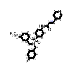 O=C(/C=C/c1ccncc1)Nc1ccc(S(=O)(=O)N(Cc2ccc(F)cc2)Cc2cccc(OC(F)(F)F)c2)cc1